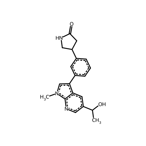 CC(O)c1cnc2c(c1)c(-c1cccc(C3CNC(=O)C3)c1)cn2C